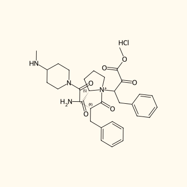 CNC1CCN(C(=O)C[C@@H](Cc2ccccc2)C(=O)[N+]2(C(Cc3ccccc3)C(=O)C(=O)OC)CCC[C@H]2C(N)=O)CC1.Cl